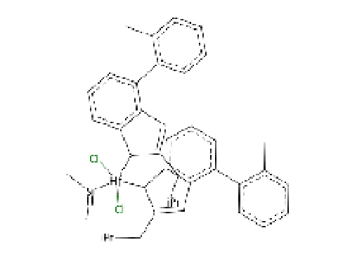 Cc1ccccc1-c1cccc2c1C=C(CC(C)C)[CH]2[Hf]([Cl])([Cl])([CH]1C(CC(C)C)=Cc2c(-c3ccccc3C)cccc21)[SiH](C)C